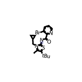 Cc1c(C(C)(C)C)s/c(=N\C(=O)c2ncccc2Br)n1CC1CC1